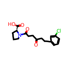 O=C(CCC(=O)N1CCC[C@H]1C(=O)O)CCc1cccc(Cl)c1